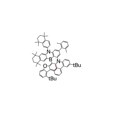 Cc1cccc(C)c1-c1cc2c3c(c1)N(c1ccc(C(C)(C)C)cc1-c1ccccc1)c1ccc4c(oc5cccc(C(C)(C)C)c54)c1B3c1cc3c(cc1N2c1ccc2c(c1)C(C)(C)CCC2(C)C)C(C)(C)CCC3(C)C